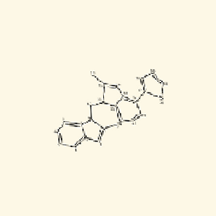 CC1=Cc2ccccc2C1CC1C(C)=Cc2c(-c3cccs3)cccc21